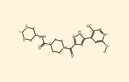 COc1cc(-c2cc(C(=O)N3CCC(C(=O)NC4COCOC4)CC3)n[nH]2)c(Cl)cn1